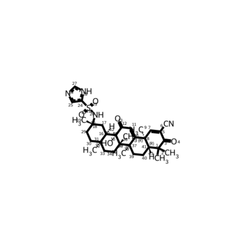 CC1(C)C(=O)C(C#N)=C[C@]2(C)C3=CC(=O)[C@]4(O)[C@@H]5C[C@@](C)(NS(=O)(=O)c6cnc[nH]6)CC[C@]5(C)CC[C@@]4(C)[C@]3(C)CC[C@@H]12